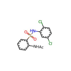 CC(=O)Nc1ccccc1S(=O)(=O)Nc1cc(Cl)ccc1Cl